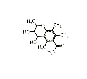 Cc1c(C)c(C(N)=O)c(C)c2c1OC(C)C(O)C2O